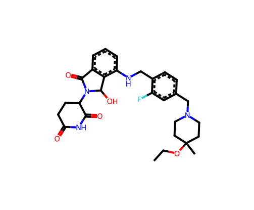 CCOC1(C)CCN(Cc2ccc(CNc3cccc4c3C(O)N(C3CCC(=O)NC3=O)C4=O)c(F)c2)CC1